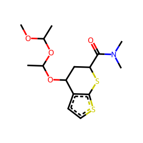 COC(C)OC(C)OC1CC(C(=O)N(C)C)Sc2sccc21